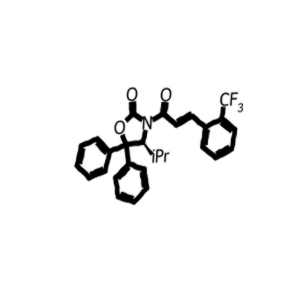 CC(C)[C@@H]1N(C(=O)C=Cc2ccccc2C(F)(F)F)C(=O)OC1(c1ccccc1)c1ccccc1